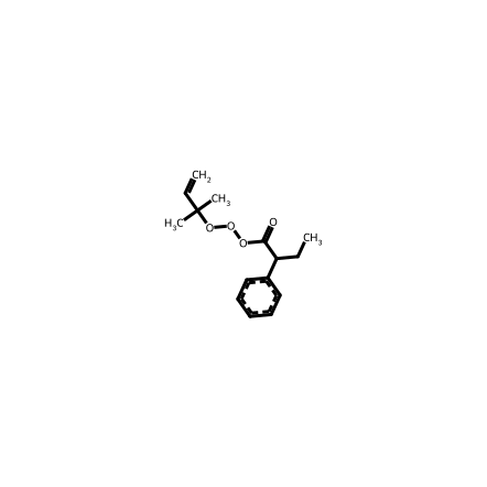 C=CC(C)(C)OOOC(=O)C(CC)c1ccccc1